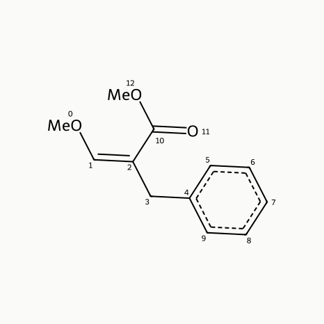 COC=C(Cc1ccccc1)C(=O)OC